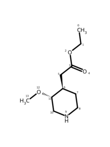 CCOC(=O)C[C@H]1CCNC[C@@H]1OC